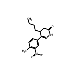 CCCCC1CC(=O)NN=C1c1ccc(N)c([N+](=O)[O-])c1